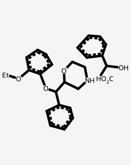 CCOc1ccccc1OC(c1ccccc1)C1CNCCO1.O=C(O)C(O)c1ccccc1